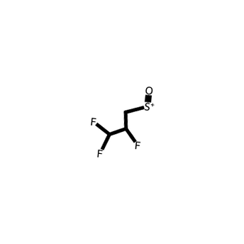 O=[S+]CC(F)C(F)F